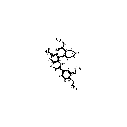 CCC(=O)C1CNCCN1c1nc(N)nc2ncc(-c3ccc(OC)c(OC)c3)nc12